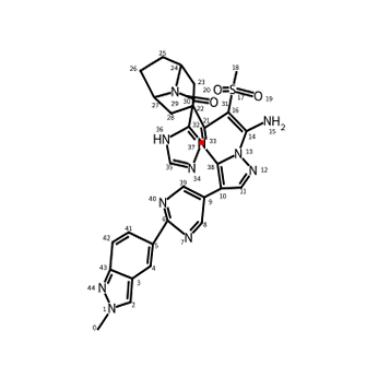 Cn1cc2cc(-c3ncc(-c4cnn5c(N)c(S(C)(=O)=O)c(C6CC7CCC(C6)N7C(=O)c6nnc[nH]6)nc45)cn3)ccc2n1